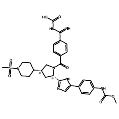 COC(=O)Nc1ccc(-c2cnc([C@@H]3C[C@H](C4CCN(S(C)(=O)=O)CC4)CN3C(=O)c3ccc(C(=N)NC(=O)O)cc3)[nH]2)cc1